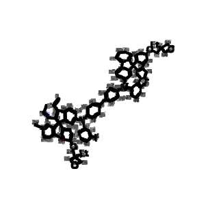 C=CC1=C(/C=C\C)C(c2ccc(OCC3(CC)COC3)cc2)(c2cc(C)ccc2C)c2cc(N(c3ccc(-c4ccc(N(c5cccc(F)c5)c5ccc6c(c5)C(c5ccc(OCC7(CC)COC7)cc5)(c5cc(C)ccc5C)c5ccccc5-6)cc4)cc3)c3cccc(F)c3)ccc21